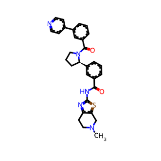 CN1CCc2nc(NC(=O)c3cccc([C@H]4CCCN4C(=O)c4cccc(-c5ccncc5)c4)c3)sc2C1